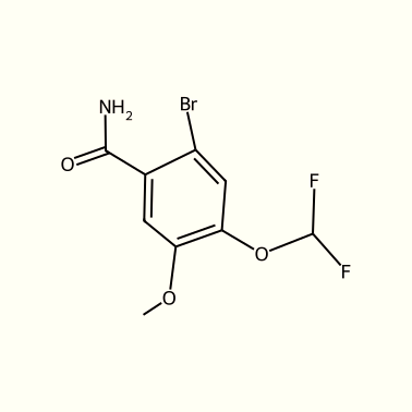 COc1cc(C(N)=O)c(Br)cc1OC(F)F